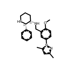 COc1ccc(-n2nc(C)cc2C)cc1CN[C@H]1CCCN[C@H]1c1ccccc1